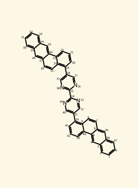 c1ccc2cc3c(ccc4c(-c5cnc(-c6ncc(-c7cccc8c7ccc7cc9ccccc9cc78)cn6)nc5)cccc43)cc2c1